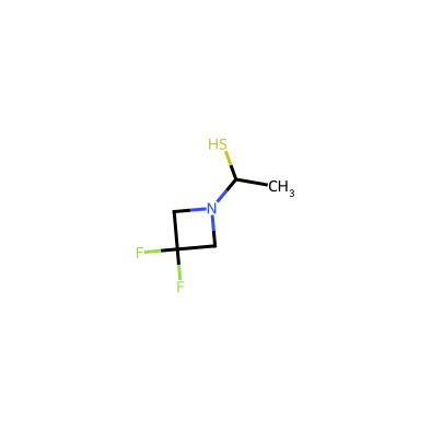 CC(S)N1CC(F)(F)C1